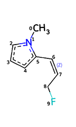 Cn1cccc1/C=C\CF